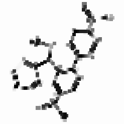 COn1c2ccccc2c2c(C(=O)O)ccc(-c3ccc([N+](=O)[O-])cc3)c21